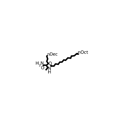 CCCCCCCCC=CCCCCCCCCCCCC(=O)NC(C)C(CCCCCCCCCCCCCC)C(N)=O